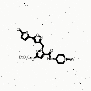 CCOC(=O)Oc1cc(C(=O)NC2CCN(C(C)C)CC2)n(Cc2cc(-c3ccc(Cl)s3)on2)n1